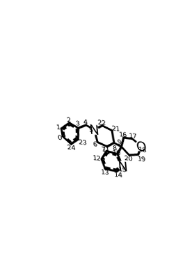 c1ccc(CN2CCC(C3(c4ccccn4)CCOCC3)CC2)cc1